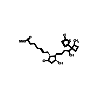 COC(=O)CCCC=CC[C@H]1C(Cl)C[C@@H](O)[C@@H]1C=CCC(O)C1(c2ccc(Cl)s2)CCC1C